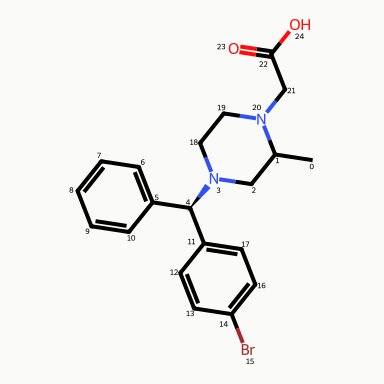 CC1CN([C@H](c2ccccc2)c2ccc(Br)cc2)CCN1CC(=O)O